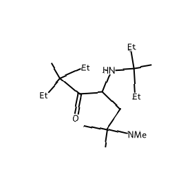 CCC(C)(CC)NC(CC(C)(C)NC)C(=O)C(C)(CC)CC